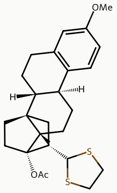 COc1ccc2c(c1)CC[C@@H]1[C@@H]2CC[C@@]2(C)[C@]13CC[C@]2(OC(C)=O)[C@@H](C1SCCS1)C3